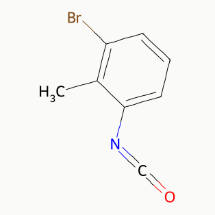 Cc1c(Br)cccc1N=C=O